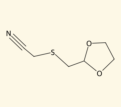 N#CCSCC1OCCO1